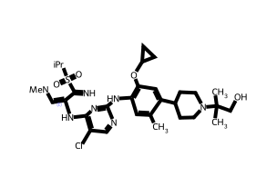 CN/C=C(/Nc1nc(Nc2cc(C)c(C3CCN(C(C)(C)CO)CC3)cc2OC2CC2)ncc1Cl)C(=N)S(=O)(=O)C(C)C